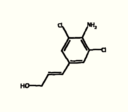 Nc1c(Cl)cc(/C=C/CO)cc1Cl